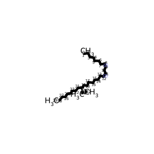 CCCCCCCC/C=C\C/C=C\CCCCCCCC(CCCCCCCCC)N(C)C